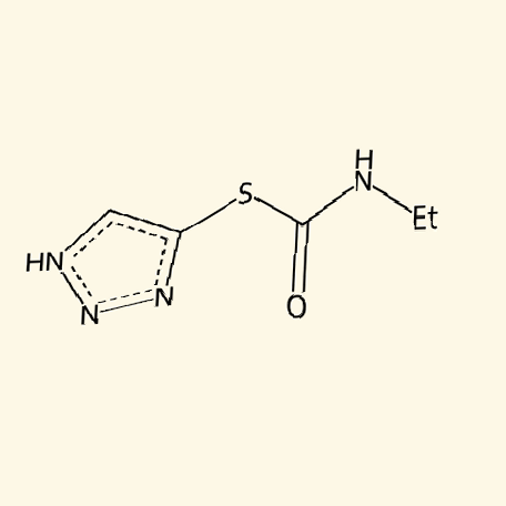 CCNC(=O)Sc1c[nH]nn1